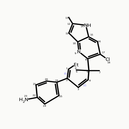 CC/C=C(\C=C/C(C)(C)c1nc2cc(C)[nH]c2cc1Cl)c1ccc(N)cc1